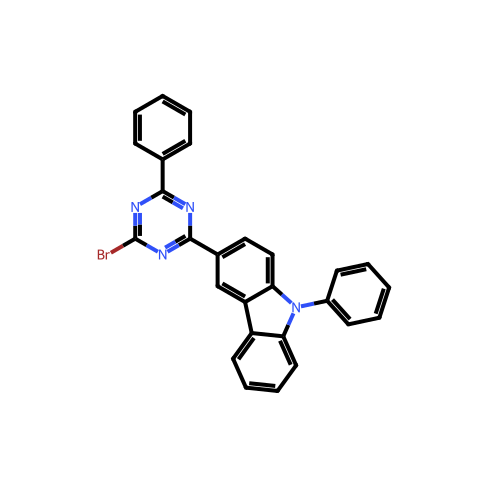 Brc1nc(-c2ccccc2)nc(-c2ccc3c(c2)c2ccccc2n3-c2ccccc2)n1